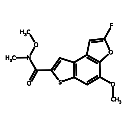 COc1cc2sc(C(=O)N(C)OC)cc2c2cc(F)oc12